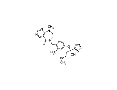 CNCC[C@@](O)(Oc1ccc(CN2CCN(C)c3ncncc3C2=O)c(C)c1)c1cccs1